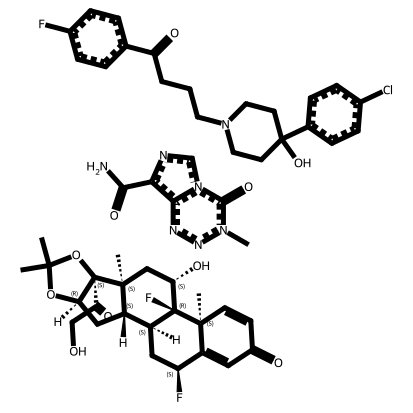 CC1(C)O[C@@H]2C[C@H]3[C@@H]4C[C@H](F)C5=CC(=O)C=C[C@]5(C)[C@@]4(F)[C@@H](O)C[C@]3(C)[C@]2(C(=O)CO)O1.Cn1nnc2c(C(N)=O)ncn2c1=O.O=C(CCCN1CCC(O)(c2ccc(Cl)cc2)CC1)c1ccc(F)cc1